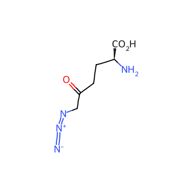 [N-]=[N+]=NCC(=O)CC[C@H](N)C(=O)O